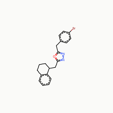 Brc1ccc(Cc2nnc(CC3CCCc4ccccc43)o2)cc1